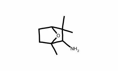 CC12CCC(O1)C(C)(C)C2N